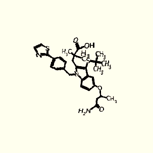 CC(CC(N)=O)Oc1ccc2c(c1)c(SC(C)(C)C)c(CC(C)(C)C(=O)O)n2Cc1ccc(-c2nccs2)cc1